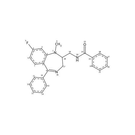 CN1c2cc(F)ccc2C(c2ccccc2)=NCC1CNC(=O)c1ccccc1